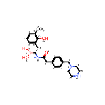 O=C(Cc1ccc(CN2CCNCC2)cc1)N[C@@H](Cc1cccc(C(=O)O)c1O)B(O)O